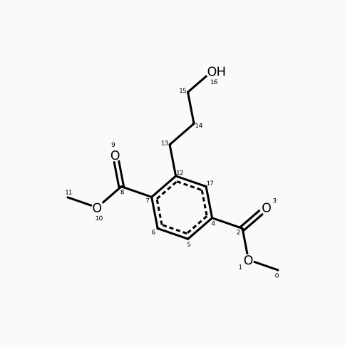 COC(=O)c1ccc(C(=O)OC)c(CCCO)c1